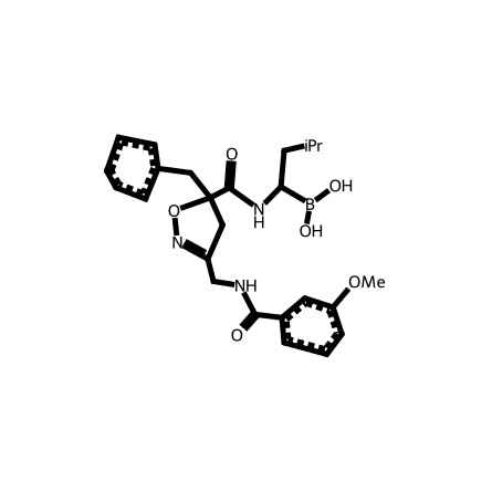 COc1cccc(C(=O)NCC2=NOC(Cc3ccccc3)(C(=O)NC(CC(C)C)B(O)O)C2)c1